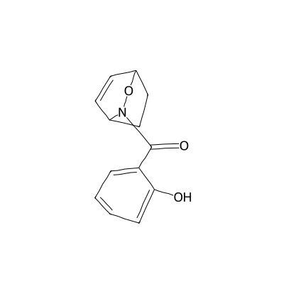 O=C(c1ccccc1O)N1OC2C=CC1CC2